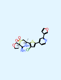 C[C@@]1(c2sc(-c3ccnc(-c4ccoc4)c3)cc2Cl)CS(=O)(=O)[C@@]2(CCOC2)C(=N)N1